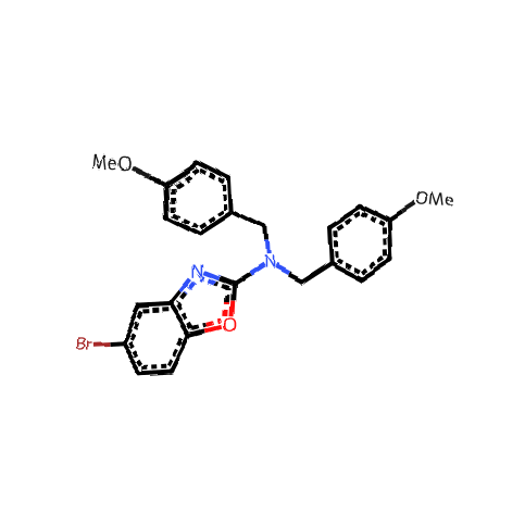 COc1ccc(CN(Cc2ccc(OC)cc2)c2nc3cc(Br)ccc3o2)cc1